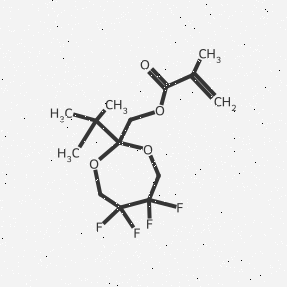 C=C(C)C(=O)OCC1(C(C)(C)C)OCC(F)(F)C(F)(F)CO1